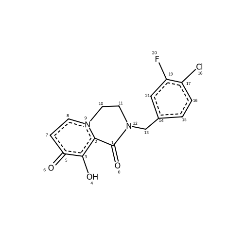 O=C1c2c(O)c(=O)ccn2CCN1Cc1ccc(Cl)c(F)c1